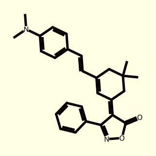 CN(C)c1ccc(/C=C/C2=CC(=C3/C(=O)ON=C3c3ccccc3)/CC(C)(C)C2)cc1